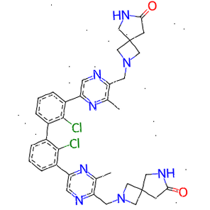 Cc1nc(-c2cccc(-c3cccc(-c4cnc(CN5CC6(CNC(=O)C6)C5)c(C)n4)c3Cl)c2Cl)cnc1CN1CC2(CNC(=O)C2)C1